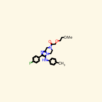 COCCOCC(=O)N1CCn2c(nc(-c3ccc(F)cc3)c2Nc2ccc(C)cc2)C1